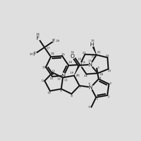 Cc1ccc(C)n1C1CC2CCCC2[C@H]1C(=O)N1C2CC[C@H]1CN(c1cc(C(F)(F)F)ccn1)C2